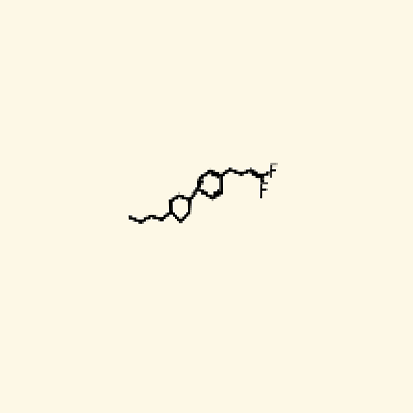 CCCCC1CCC(c2ccc(CCC=C(F)F)cc2)CC1